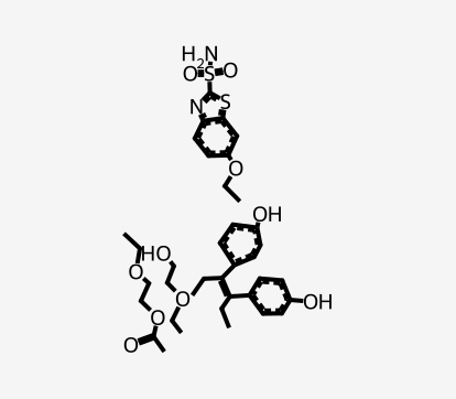 CCC(=C(CC)c1ccc(O)cc1)c1ccc(O)cc1.CCOCCO.CCOCCOC(C)=O.CCOc1ccc2nc(S(N)(=O)=O)sc2c1